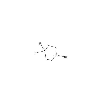 CC(C)(C)N1CCC(F)(F)CC1